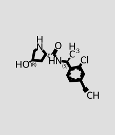 C#Cc1ccc([C@H](C)NC(=O)[C@@H]2C[C@@H](O)CN2)c(Cl)c1